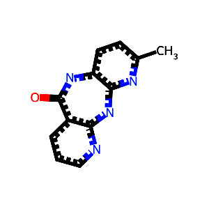 Cc1ccc2nc(=O)c3cccnc3nc2n1